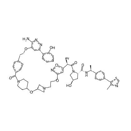 Cc1ncsc1-c1ccc([C@H](C)NC(=O)[C@@H]2C[C@@H](O)CN2C(=O)[C@@H](c2cc(OCCN3CC(OC4CCN(C(=O)c5ccc(CCOc6cc(-c7ccccc7O)nnc6N)cc5)CC4)C3)no2)C(C)C)cc1